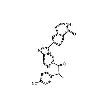 CN(C(=O)c1cn2c(-c3ccc4c(=O)[nH]ccc4c3)cnc2cn1)c1ccc(C#N)cc1